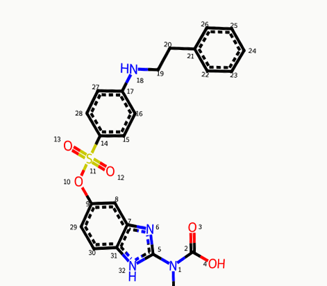 CN(C(=O)O)c1nc2cc(OS(=O)(=O)c3ccc(NCCc4ccccc4)cc3)ccc2[nH]1